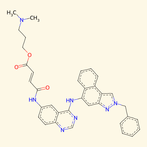 CN(C)CCCOC(=O)C=CC(=O)Nc1ccc2ncnc(Nc3cc4nn(Cc5ccccc5)cc4c4ccccc34)c2c1